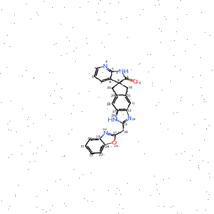 O=C1Nc2ncccc2C12Cc1cc3nc(Cc4nc5ccccc5o4)[nH]c3cc1C2